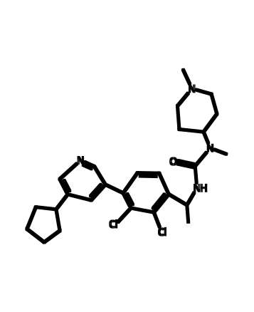 CC(NC(=O)N(C)C1CCN(C)CC1)c1ccc(-c2cncc(C3CCCC3)c2)c(Cl)c1Cl